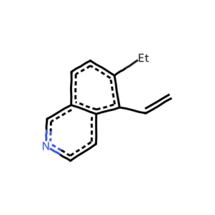 C=Cc1c(CC)ccc2cnccc12